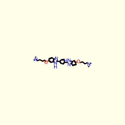 CN(C)CCCCOc1ccc2nc(-c3ccc(-c4nc5ccc(OCCCCN(C)C)cc5[nH]4)cc3)[nH]c2c1